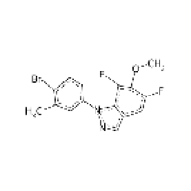 COc1c(F)cc2cnn(-c3ccc(Br)c(C)c3)c2c1F